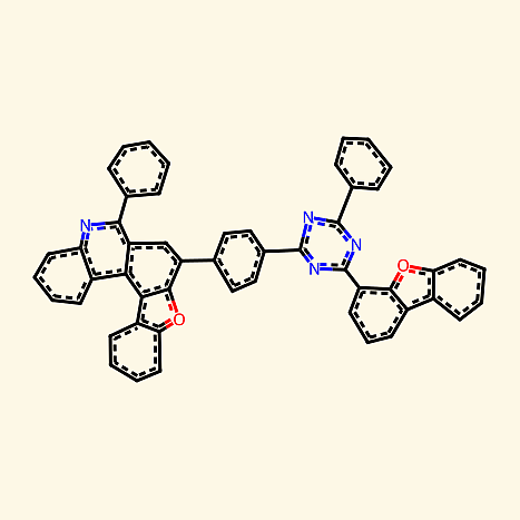 c1ccc(-c2nc(-c3ccc(-c4cc5c(-c6ccccc6)nc6ccccc6c5c5c4oc4ccccc45)cc3)nc(-c3cccc4c3oc3ccccc34)n2)cc1